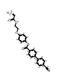 C=CC(=O)OCCOc1ccc(OC(=O)c2ccc(-c3ccc(C#N)cc3)cc2)cc1